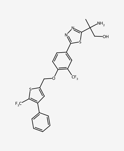 CC(N)(CO)c1nnc(-c2ccc(OCc3cc(-c4ccccc4)c(C(F)(F)F)s3)c(C(F)(F)F)c2)s1